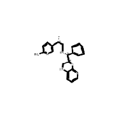 C[C@H](CN[C@H](c1ccccc1)[C@@H]1CNc2cccnc2O1)c1ccc(C#N)nc1